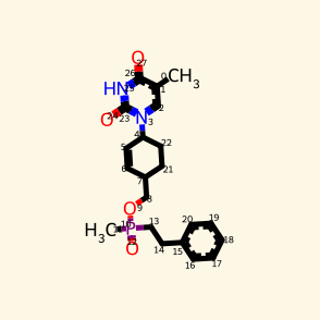 Cc1cn(C2C=CC(COP(C)(=O)CCc3ccccc3)CC2)c(=O)[nH]c1=O